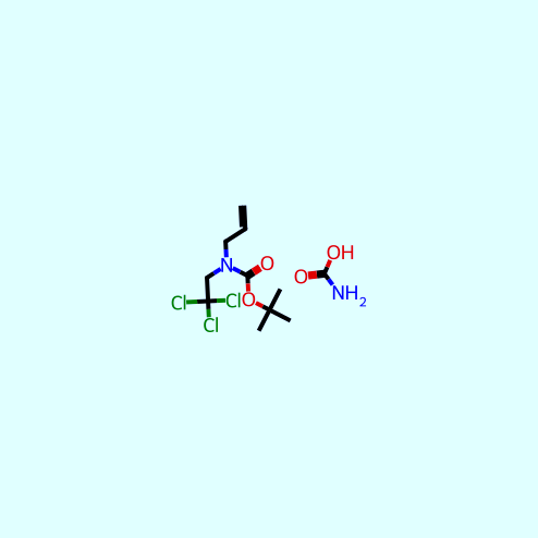 C=CCN(CC(Cl)(Cl)Cl)C(=O)OC(C)(C)C.NC(=O)O